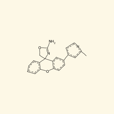 Cc1cc(-c2ccc3c(c2)C2(COC(N)=N2)c2ccccc2O3)ccn1